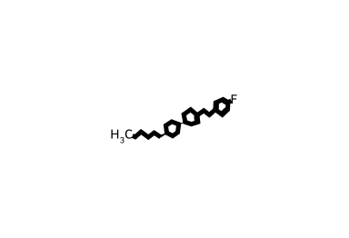 CCCCCC[C@H]1CC[C@H](C2CC=C(CCc3ccc(F)cc3)CC2)CC1